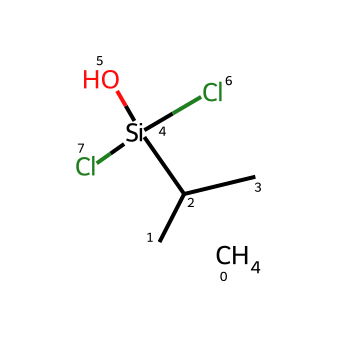 C.CC(C)[Si](O)(Cl)Cl